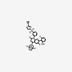 O=c1nc(N2C[C@H]3CC[C@@H](C2)N3)c2cc(F)c(-c3c(O)cccc3F)nc2n1-c1cccc(S(=O)(=O)n2cnc(C3CC3)n2)c1